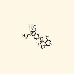 C=Cc1nn(C)c2ccc(O[C@H](C)c3c(Cl)cncc3Cl)cc12